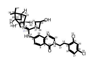 C[C@@H]1[C@@H](/N=C(/Nc2ccc3c(=O)n(CCc4ccc(Cl)cc4Cl)cnc3c2)N2CC(O)C2)C[C@@H]2C[C@H]1C2(C)C